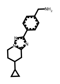 NCc1ccc(-c2nc3n(n2)CCC(C2CC2)C3)cc1